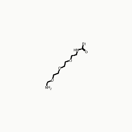 CCC(=O)NCCOCCOCCOCN